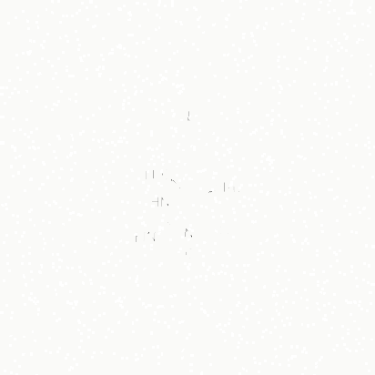 CCCC[C@H]1C(=O)N(C)C(=N)N[C@]1(C)c1cccc(I)c1